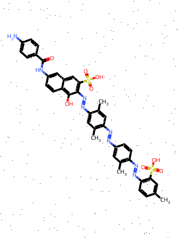 Cc1ccc(N=Nc2ccc(N=Nc3cc(C)c(N=Nc4c(S(=O)(=O)O)cc5cc(NC(=O)c6ccc(N)cc6)ccc5c4O)cc3C)cc2C)c(S(=O)(=O)O)c1